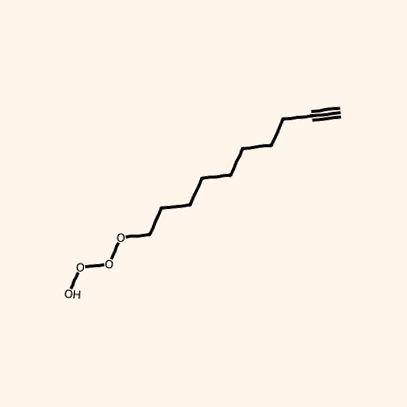 C#CCCCCCCCCOOOO